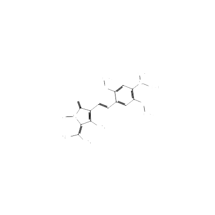 CCCCOc1cc(N(CCCC)CCCC)c(OCCCC)cc1/C=C/C1=C(C#N)C(=C(C#N)C#N)N(CCCC)C1=O